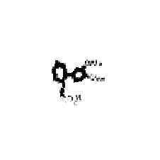 COc1ccc(-c2ccccc2CCC(=O)O)cc1OC